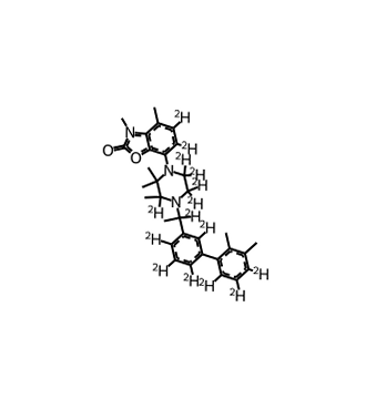 [2H]c1c([2H])c(C)c(C)c(-c2c([2H])c([2H])c([2H])c(C([2H])(C)N3C([2H])([2H])C([2H])([2H])N(c4c([2H])c([2H])c(C)c5c4oc(=O)n5C)C(C)(C)C3([2H])C)c2[2H])c1[2H]